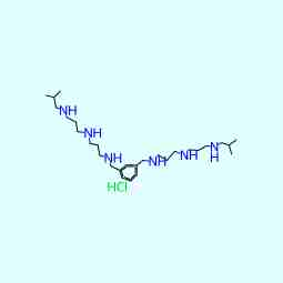 CC(C)CNCCCNCCCNCc1cccc(CNCCCNCCCNCC(C)C)c1.Cl